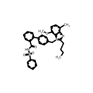 CCCCc1nc2c(C)ccc(OC)c2n1Cc1ccc(-c2ccccc2C(=O)NS(=O)(=O)c2ccccc2)cc1